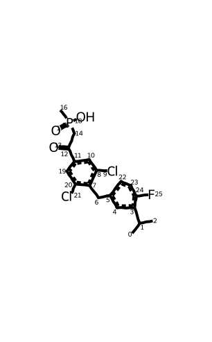 CC(C)c1cc(Cc2c(Cl)cc(C(=O)CP(C)(=O)O)cc2Cl)ccc1F